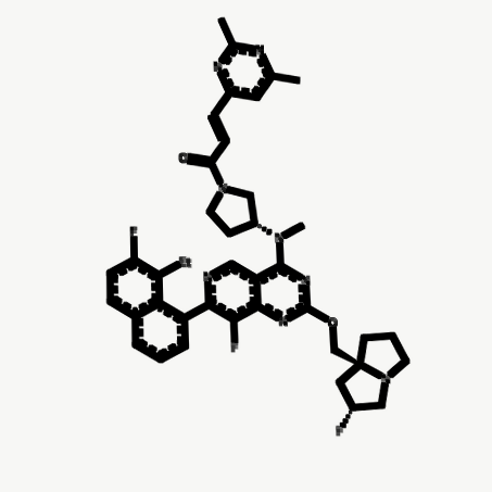 CCc1c(F)ccc2cccc(-c3ncc4c(N(C)[C@@H]5CCN(C(=O)/C=C/c6cc(C)nc(C)n6)C5)nc(OC[C@@]56CCCN5C[C@H](F)C6)nc4c3F)c12